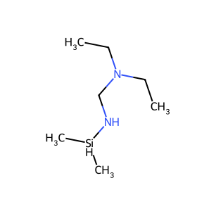 CCN(CC)CN[SiH](C)C